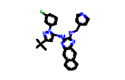 CC(C)(C)c1cc(Nc2nc3cc4ccccc4cc3nc2NCc2ccncc2)n(-c2cccc(F)c2)n1